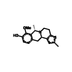 COc1c(O)ccc2c1[C@H](C)N1CCc3sc(C)cc3C1C2